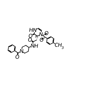 Cc1ccc(S(=O)(=O)N2C=CNC(=O)[C@H]2CC(=O)NC2CCN(C(=O)c3ccccc3)CC2)cc1